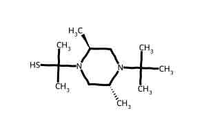 C[C@@H]1CN(C(C)(C)S)[C@@H](C)CN1C(C)(C)C